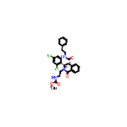 CC(C)(C)OC(=O)NCCN1C(=O)c2ccccc2[C@@H](C(=O)NCCc2ccccc2)[C@@H]1c1ccc(Cl)cc1Cl